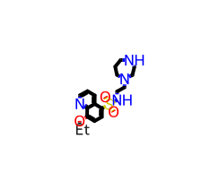 CCOc1ccc(S(=O)(=O)NCCN2CCCNCC2)c2cccnc12